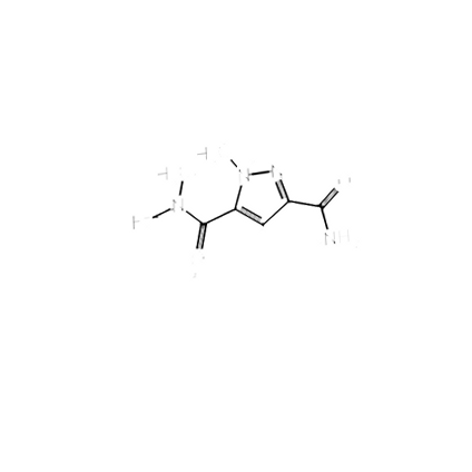 CCN(C)C(=O)c1cc(C(N)=O)nn1C